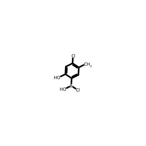 Cc1cc(B(O)Cl)c(O)cc1Cl